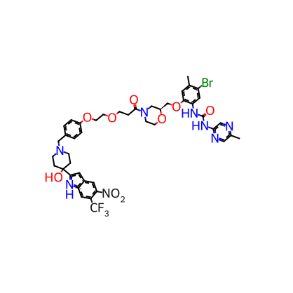 Cc1cnc(NC(=O)Nc2cc(Br)c(C)cc2OC[C@@H]2CN(C(=O)CCOCCOc3ccc(CN4CCC(O)(c5cc6cc([N+](=O)[O-])c(C(F)(F)F)cc6[nH]5)CC4)cc3)CCO2)cn1